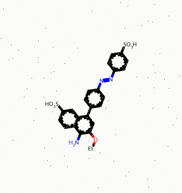 CCOc1cc(-c2ccc(/N=N/c3ccc(S(=O)(=O)O)cc3)cc2)c2cc(S(=O)(=O)O)ccc2c1N